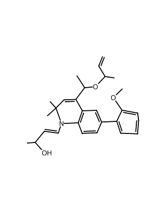 C=CC(C)OC(C)C1=CC(C)(C)N(C=CC(C)O)c2ccc(-c3ccccc3OC)cc21